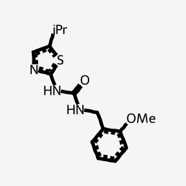 COc1ccccc1CNC(=O)Nc1ncc(C(C)C)s1